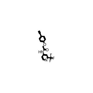 C#Cc1ccc(OCC(=O)Nc2ccnc(C(F)(F)F)c2)cc1